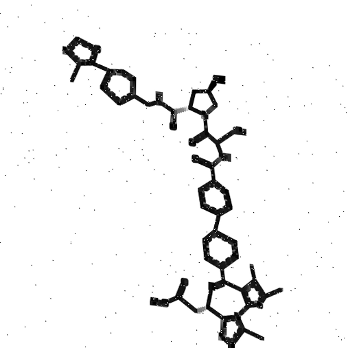 COC(=O)C[C@@H]1N=C(c2ccc(-c3ccc(C(=O)NC(C(=O)N4C[C@H](O)C[C@H]4C(=O)NCc4ccc(-c5ocnc5C)cc4)C(C)(C)C)cc3)cc2)c2c(sc(C)c2C)-n2c(C)nnc21